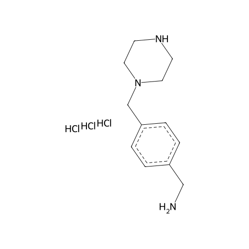 Cl.Cl.Cl.NCc1ccc(CN2CCNCC2)cc1